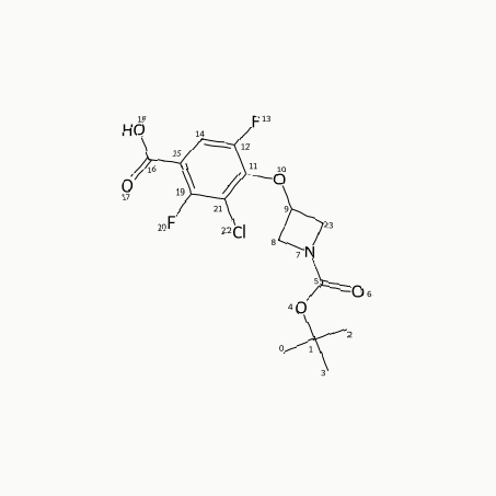 CC(C)(C)OC(=O)N1CC(Oc2c(F)cc(C(=O)O)c(F)c2Cl)C1